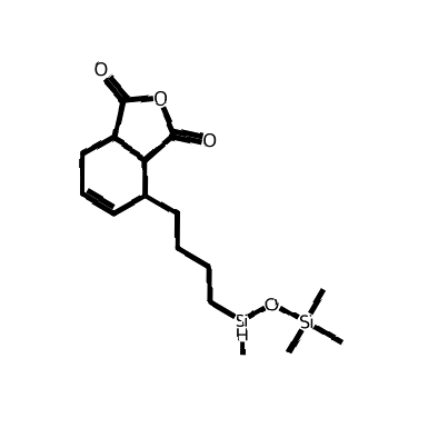 C[SiH](CCCCC1C=CCC2C(=O)OC(=O)C12)O[Si](C)(C)C